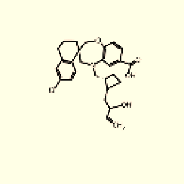 C=CC(O)C[C@@H]1CC[C@H]1CN1C[C@@]2(CCCc3cc(Cl)ccc32)COc2ccc(C(=O)O)cc21